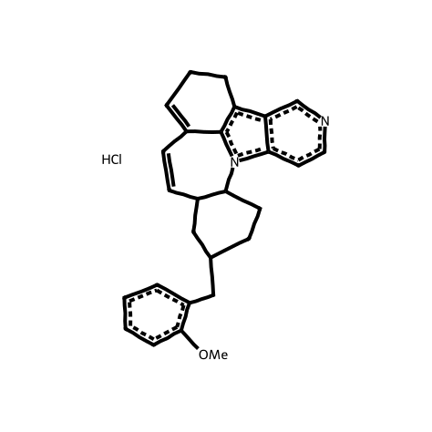 COc1ccccc1CC1CCC2C(C=CC3=CCCc4c3n2c2ccncc42)C1.Cl